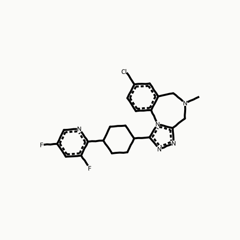 CN1Cc2cc(Cl)ccc2-n2c(nnc2C2CCC(c3ncc(F)cc3F)CC2)C1